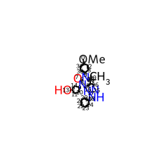 COc1ccc(N2C(=O)N(C3CCC(O)C3)c3nc(Nc4ccccc4)ncc3[C@@H]2C)cc1